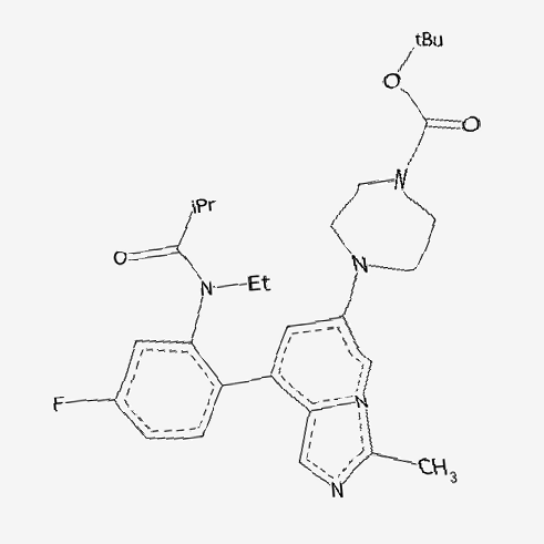 CCN(C(=O)C(C)C)c1cc(F)ccc1-c1cc(N2CCN(C(=O)OC(C)(C)C)CC2)cn2c(C)ncc12